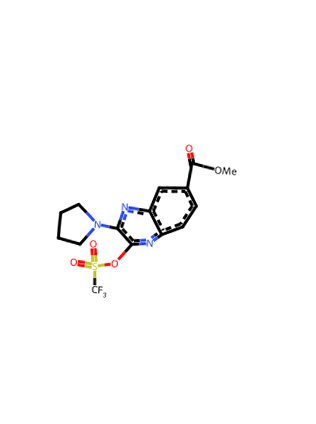 COC(=O)c1ccc2nc(OS(=O)(=O)C(F)(F)F)c(N3CCCC3)nc2c1